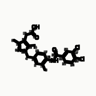 Cc1cc(Cn2nc(C)c(CC(=O)O)c2C)ccc1NC(=O)c1ccc(Cl)c(Cl)c1